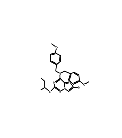 CCC(C)Oc1nc(N(Cc2ccc(OC)cc2)Cc2ccc(OC)cc2)c2nc(Br)cn2n1